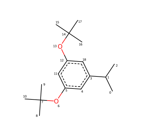 CC(C)c1cc(OC(C)(C)C)cc(OC(C)(C)C)c1